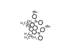 CC(C)(C)c1ccc(N(c2ccccc2)c2cc([Si](C)(C)C)c3ccc4c([Si](C)(C)C)cc(N(c5ccccc5)c5ccc(C(C)(C)C)cc5)c5ccc2c3c54)cc1